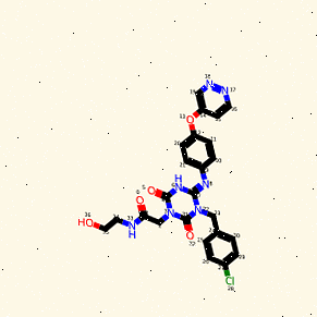 O=C(Cn1c(=O)[nH]/c(=N\c2ccc(Oc3ccnnc3)cc2)n(Cc2ccc(Cl)cc2)c1=O)NCCO